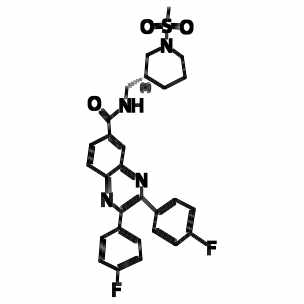 CS(=O)(=O)N1CCC[C@H](CNC(=O)c2ccc3nc(-c4ccc(F)cc4)c(-c4ccc(F)cc4)nc3c2)C1